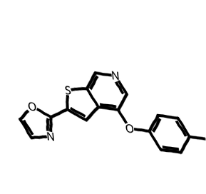 Clc1ccc(Oc2cncc3sc(-c4ncco4)cc23)cc1